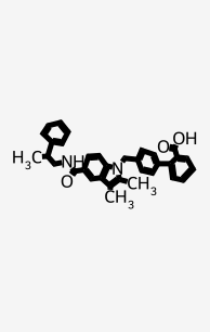 Cc1c(C)n(Cc2ccc(-c3ccccc3C(=O)O)cc2)c2ccc(C(=O)NCC(C)c3ccccc3)cc12